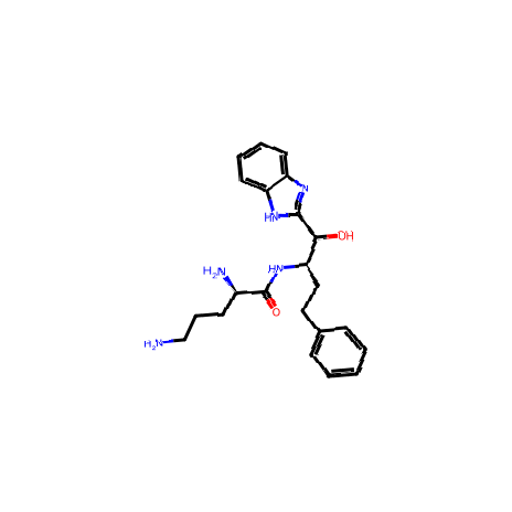 NCCC[C@@H](N)C(=O)N[C@H](CCc1ccccc1)C(O)c1nc2ccccc2[nH]1